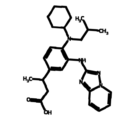 CC(C)CN(c1ccc(C(C)CC(=O)O)cc1Nc1nc2ccccn2n1)C1CCCCC1